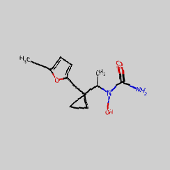 Cc1ccc(C2(C(C)N(O)C(N)=O)CC2)o1